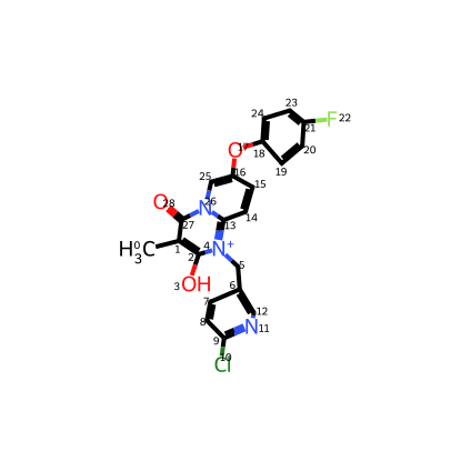 Cc1c(O)[n+](Cc2ccc(Cl)nc2)c2ccc(Oc3ccc(F)cc3)cn2c1=O